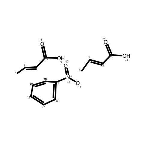 CC=CC(=O)O.CC=CC(=O)O.O=[N+]([O-])c1ccccc1